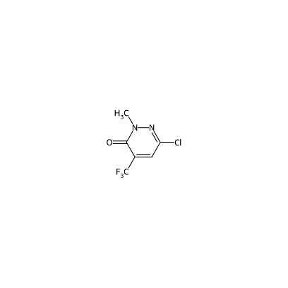 Cn1nc(Cl)cc(C(F)(F)F)c1=O